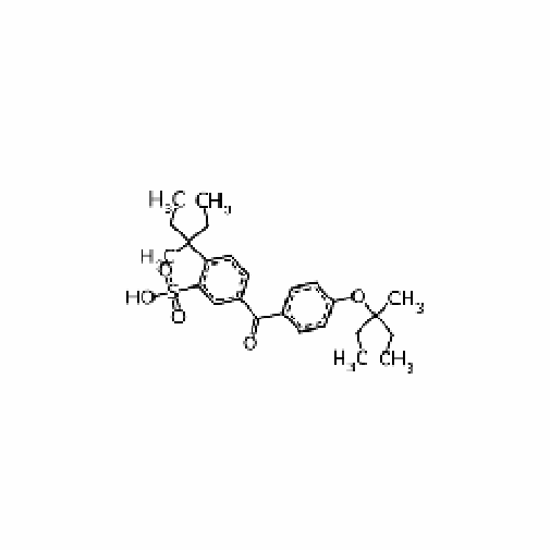 CCC(C)(CC)Oc1ccc(C(=O)c2ccc(C(C)(CC)CC)c(S(=O)(=O)O)c2)cc1